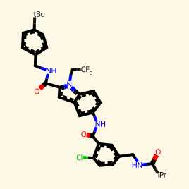 CC(C)C(=O)NCc1ccc(Cl)c(C(=O)Nc2ccc3c(c2)cc(C(=O)NCc2ccc(C(C)(C)C)cc2)n3CC(F)(F)F)c1